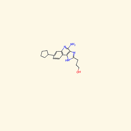 Nc1nc2cc(C3CCCC3)ccc2c2[nH]c(CCCO)nc12